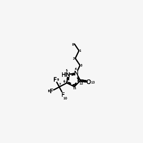 CCCCn1[nH]c(C(F)(F)F)cc1=O